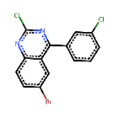 Clc1cccc(-c2nc(Cl)nc3ccc(Br)cc23)c1